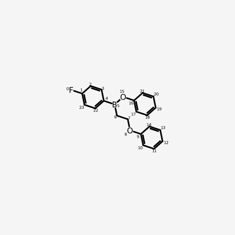 Fc1ccc(B(CCOc2ccccc2)Oc2ccccc2)cc1